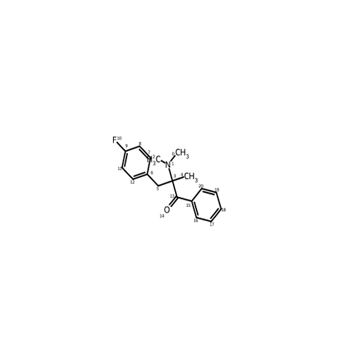 CN(C)C(C)(Cc1ccc(F)cc1)C(=O)c1ccccc1